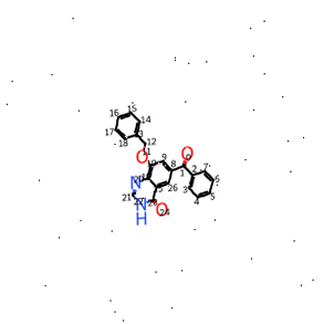 O=C(c1ccccc1)c1cc(OCc2ccccc2)c2nc[nH]c(=O)c2c1